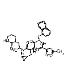 Cc1cc(C(=O)NC(Cc2cccc3ccccc23)C(=O)NC(CC2CC2)C(=O)NC(C#N)CC2CCCNC2=O)no1